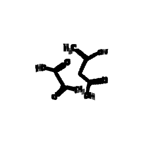 CC(=O)C(=O)O.CC(O)CC(=O)O